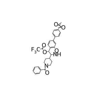 CS(=O)(=O)c1ccc(-c2ccc3c(c2)ONC(C2CCN(C(=O)c4ccccc4)CC2)C3OC(=O)C(F)(F)F)cc1